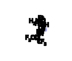 CC[C@H](N)C(=O)NNC(=O)/C=C\n1cnc(-c2cc(C(F)(F)F)cc(C(F)(F)F)c2)n1